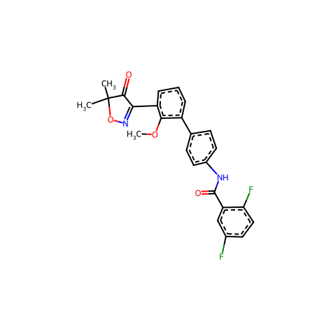 COc1c(C2=NOC(C)(C)C2=O)cccc1-c1ccc(NC(=O)c2cc(F)ccc2F)cc1